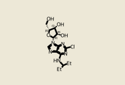 CCC(CC)Nc1nc(Cl)nc2c1ncn2[C@@H]1O[C@H](CO)[C@@H](O)[C@H]1O